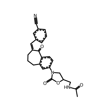 CC(=O)NCC1CN(c2ccc3c(c2)CCC/C(=C/c2cccc(C#N)c2)C3=O)C(=O)O1